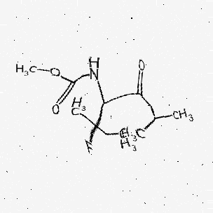 COC(=O)NC(C(=O)C(C)C)C(C)(C)F